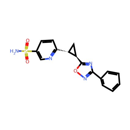 NS(=O)(=O)c1ccc([C@@H]2C[C@H]2c2nc(-c3ccccc3)no2)nc1